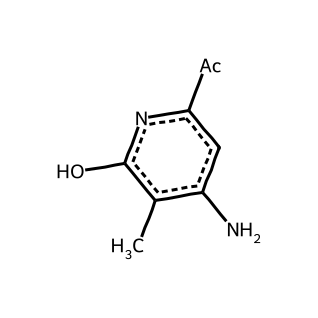 CC(=O)c1cc(N)c(C)c(O)n1